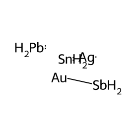 [Ag].[PbH2].[SbH2][Au].[SnH2]